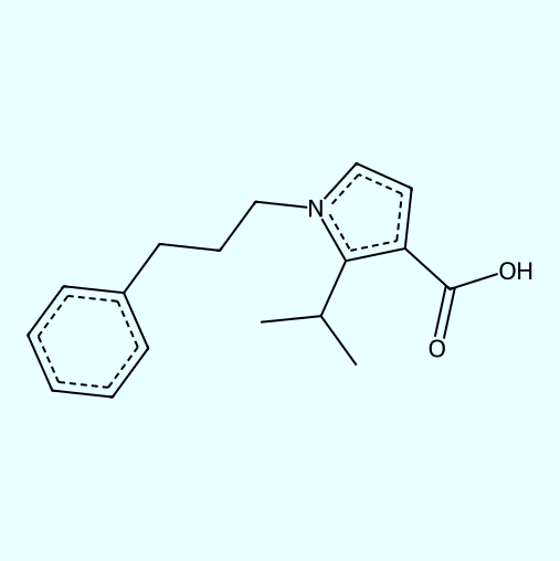 CC(C)c1c(C(=O)O)ccn1CCCc1ccccc1